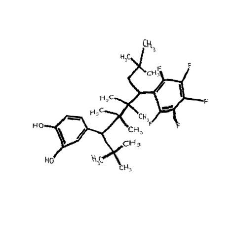 CC(C)(C)CC(c1c(F)c(F)c(F)c(F)c1F)C(C)(C)C(C)(C)C(c1ccc(O)c(O)c1)C(C)(C)C